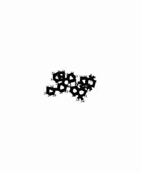 CC1(C)CCC(C)(C)c2cc(N(c3cccc4c3Oc3ccc(-c5ccccc5)cc3C43C4CC5CC6CC3C64C5)c3cccc4c3C(C)(C)CCC4(C)C)ccc21